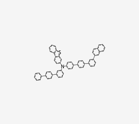 c1ccc(-c2ccc(-c3cccc(N(c4ccc(-c5ccc(-c6cccc(-c7ccc8ccccc8c7)c6)cc5)cc4)c4ccc5c(c4)sc4ccccc45)c3)cc2)cc1